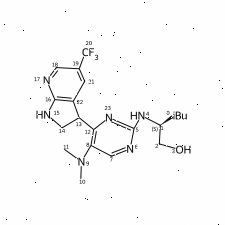 CCC(C)[C@@H](CO)Nc1ncc(N(C)C)c(C2CNc3ncc(C(F)(F)F)cc32)n1